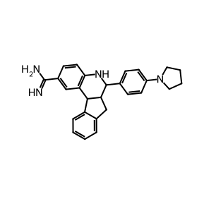 N=C(N)c1ccc2c(c1)C1c3ccccc3CC1C(c1ccc(N3CCCC3)cc1)N2